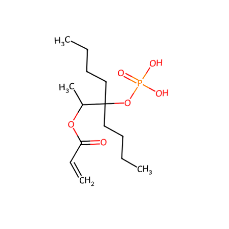 C=CC(=O)OC(C)C(CCCC)(CCCC)OP(=O)(O)O